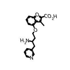 Cc1c(C(=O)O)oc2cccc(OCCC(N)Cc3cccnc3)c12